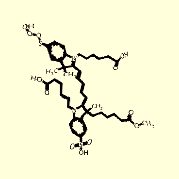 COC(=O)CCCCCC1(C)C(=CC=CC=CC2=[N+](CCCCCC(=O)O)c3ccc(SOOO)cc3C2(C)C)N(CCCCCC(=O)O)c2ccc(S(=O)(=O)O)cc21